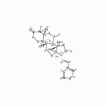 CC1C[C@H]2N(C)C(=O)CC[C@]2(C)[C@H]2CC[C@]3(C)[C@@H](/C=C/c4cnccn4)C(C)C[C@H]3[C@H]12